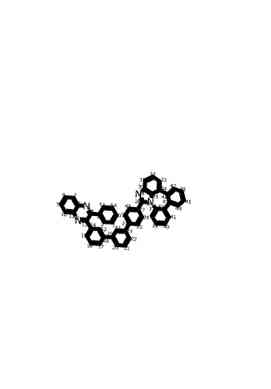 c1ccc(-c2nc3ccccc3nc2-c2cccc(-c3cccc(-c4ccc(-c5nc6cccc7c6n5-c5ccccc5-c5ccccc5-7)cc4)c3)c2)cc1